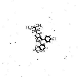 CC(C)S(=O)(=O)N1Cc2nn(-c3cccc4c3OCO4)c(-c3ccc(Cl)cc3)c2C1